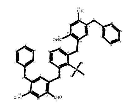 C[Si](C)(C)c1c(Cc2cc(Cc3ccccc3)c(C=O)cc2C=O)cccc1Cc1cc(Cc2ccccc2)c(C=O)cc1C=O